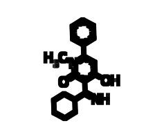 Cn1c(-c2ccccc2)cc(O)c(C(=N)C2CCCCC2)c1=O